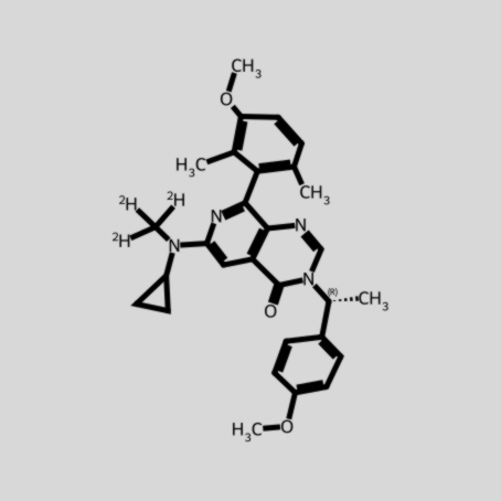 [2H]C([2H])([2H])N(c1cc2c(=O)n([C@H](C)c3ccc(OC)cc3)cnc2c(-c2c(C)ccc(OC)c2C)n1)C1CC1